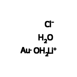 O.O.[Au].[Cl-].[Li+]